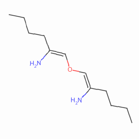 CCCCC(N)=COC=C(N)CCCC